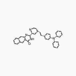 O=c1[nH]c(-c2cc(C=Cc3ccc(N(c4ccccc4)c4ccccc4)cc3)ccn2)nc2cc3ccccc3cc12